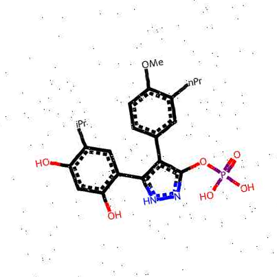 CCCc1cc(-c2c(OP(=O)(O)O)n[nH]c2-c2cc(C(C)C)c(O)cc2O)ccc1OC